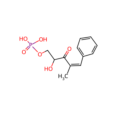 CC(=Cc1ccccc1)C(=O)C(O)COP(=O)(O)O